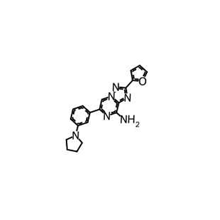 Nc1nc(-c2cccc(N3CCCC3)c2)cn2nc(-c3ccco3)nc12